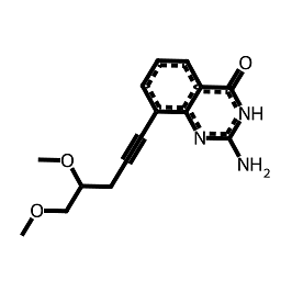 COCC(CC#Cc1cccc2c(=O)[nH]c(N)nc12)OC